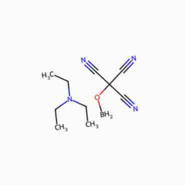 BOC(C#N)(C#N)C#N.CCN(CC)CC